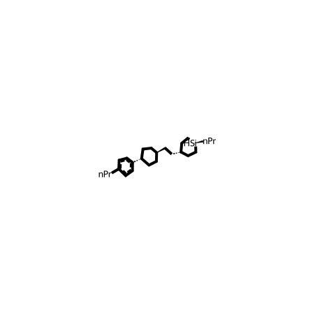 CCCc1ccc([C@H]2CC[C@H](CC[C@H]3CC[Si@H](CCC)CC3)CC2)cc1